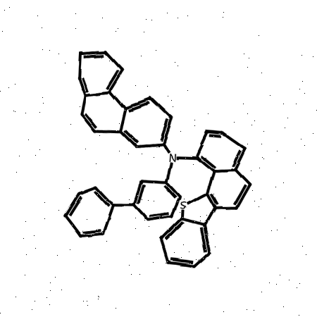 c1ccc(-c2cccc(N(c3ccc4c(ccc5ccccc54)c3)c3cccc4ccc5c6ccccc6sc5c34)c2)cc1